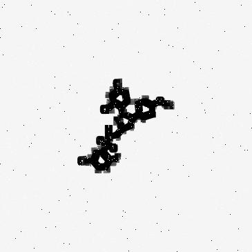 CCOc1ccc(C2CC(CNS(=O)(=O)c3cc(Cl)ccc3F)=NN2c2ccc(Cl)cc2Cl)cc1